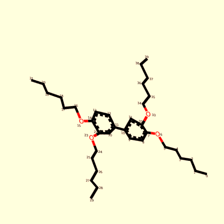 CCCCCCOc1ccc(-c2ccc(OCCCCCC)c(OCCCCCC)c2)cc1OCCCCCC